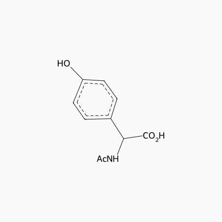 CC(=O)NC(C(=O)O)c1ccc(O)cc1